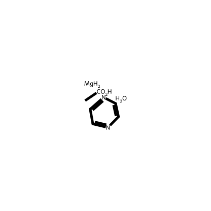 CC(=O)O.O.[MgH2].c1cnccn1